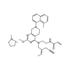 C=CC(=O)NCCN(C/C(=C\C)CC#N)c1nc(OC[C@@H]2CCCN2C)nc2c1CCN(c1cccc3cccc(C)c13)C2